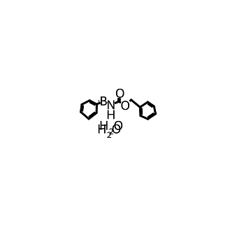 O.O.O=C(N[B]c1ccccc1)OCc1ccccc1